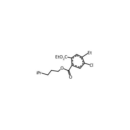 CCOC(=O)c1cc(CC)c(Cl)cc1C(=O)OCCCC(C)C